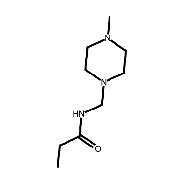 CCC(=O)NCN1CCN(C)CC1